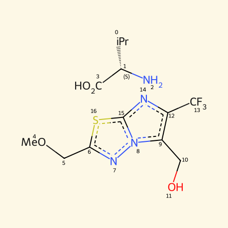 CC(C)[C@H](N)C(=O)O.COCc1nn2c(CO)c(C(F)(F)F)nc2s1